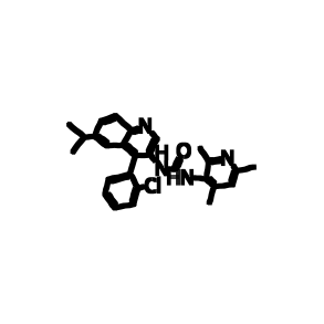 Cc1cc(C)c(NC(=O)Nc2cnc3ccc(C(C)C)cc3c2-c2ccccc2Cl)c(C)n1